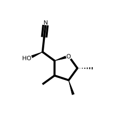 CC1[C@H](C)[C@@H](C)O[C@@H]1[C@@H](O)C#N